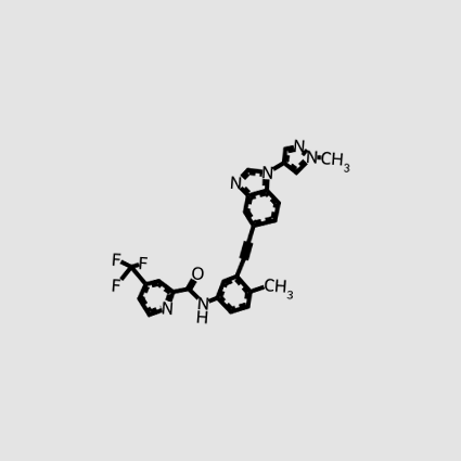 Cc1ccc(NC(=O)c2cc(C(F)(F)F)ccn2)cc1C#Cc1ccc2c(c1)ncn2-c1cnn(C)c1